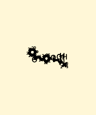 CC(C)(C)NCC(O)COc1ccc(/C=C/C(=O)c2ccccc2)cc1